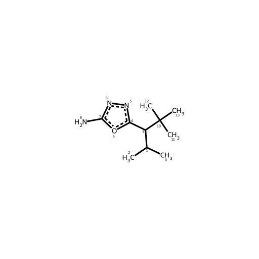 CC(C)C(c1nnc(N)o1)C(C)(C)C